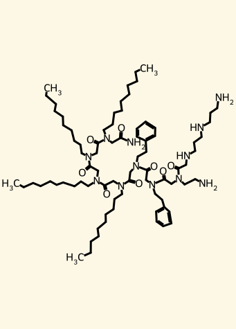 CCCCCCCCCCN(CC(N)=O)C(=O)CN(CCCCCCCCCC)C(=O)CN(CCCCCCCCCC)C(=O)CN(CCCCCCCCCC)C(=O)CN(CCc1ccccc1)C(=O)CN(CCc1ccccc1)C(=O)CN(CCN)C(=O)CNCCCNCCCN